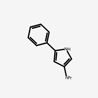 CCCc1c[nH]c(-c2ccccc2)c1